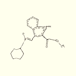 COC(=O)c1[nH]c2ccccc2c1C=[N+]([O-])C1CCCCC1